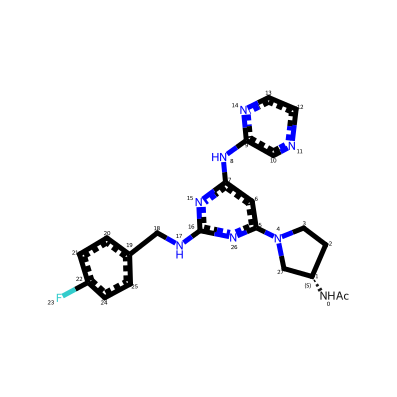 CC(=O)N[C@H]1CCN(c2cc(Nc3cnccn3)nc(NCc3ccc(F)cc3)n2)C1